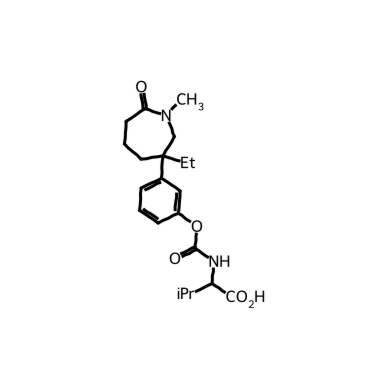 CCC1(c2cccc(OC(=O)NC(C(=O)O)C(C)C)c2)CCCC(=O)N(C)C1